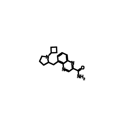 NC(=O)c1cnc2c(CC3CCCN3C3CCC3)cccc2n1